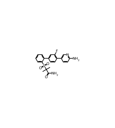 CC(C)(C(N)=O)S(=O)(=O)c1ccccc1-c1ccc(-c2ccc(N)nc2)c(F)c1